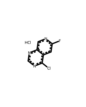 Cl.Fc1cc2c(Cl)ncnc2cn1